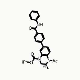 CC(=O)N1c2ccc(-c3ccc(C(=O)Nc4ccccc4)cc3)cc2N(C(=O)OC(C)C)C[C@@H]1C